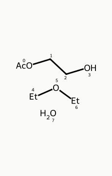 CC(=O)OCCO.CCOCC.O